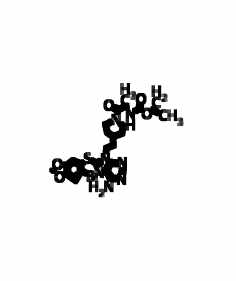 C=C(C)OC(=O)N[C@@H](C)C(=O)N1CCC(CCn2c(Sc3cc4c(cc3Br)OCO4)nc3c(N)ncnc32)CC1